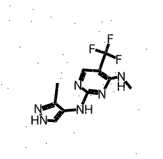 CNc1nc(Nc2c[nH]nc2C)ncc1C(F)(F)F